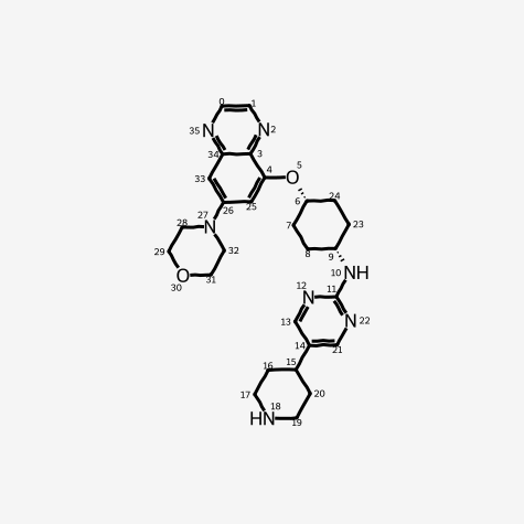 c1cnc2c(O[C@H]3CC[C@@H](Nc4ncc(C5CCNCC5)cn4)CC3)cc(N3CCOCC3)cc2n1